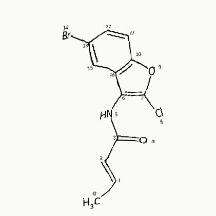 C/C=C/C(=O)Nc1c(Cl)oc2ccc(Br)cc12